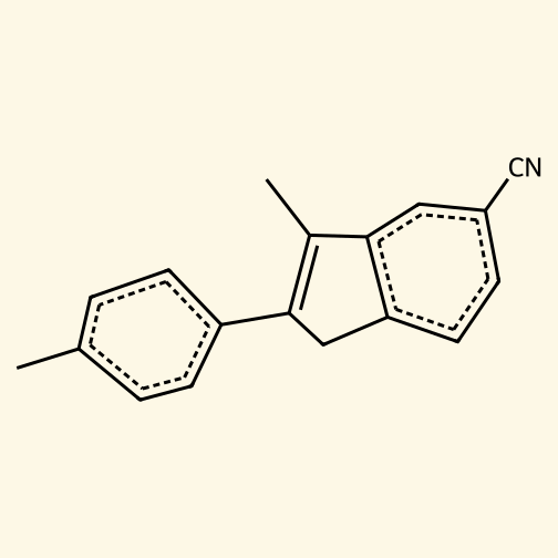 CC1=C(c2ccc(C)cc2)Cc2ccc(C#N)cc21